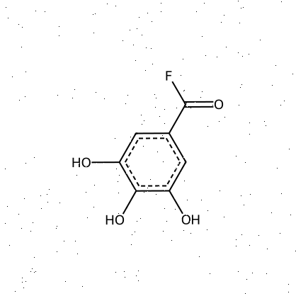 O=C(F)c1cc(O)c(O)c(O)c1